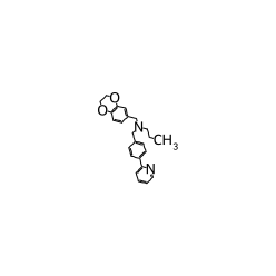 CCCN(Cc1ccc(-c2ccccn2)cc1)Cc1ccc2c(c1)OCCO2